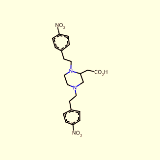 O=C(O)CC1CN(CCc2ccc([N+](=O)[O-])cc2)CCN1CCc1ccc([N+](=O)[O-])cc1